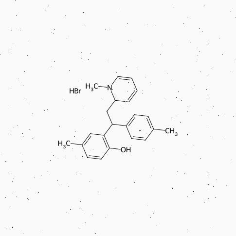 Br.Cc1ccc(C(CC2C=CC=CN2C)c2cc(C)ccc2O)cc1